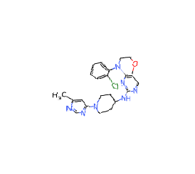 Cc1cc(N2CCC(Nc3ncc4c(n3)N(c3ccccc3Cl)CCO4)CC2)ncn1